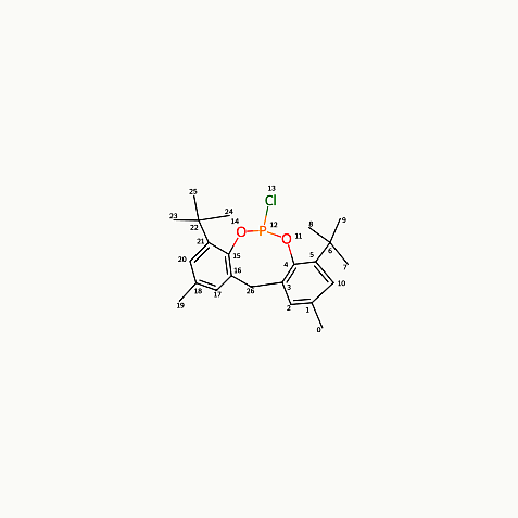 Cc1cc2c(c(C(C)(C)C)c1)OP(Cl)Oc1c(cc(C)cc1C(C)(C)C)C2